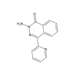 Nn1nc(-c2ccccn2)c2ccccc2c1=O